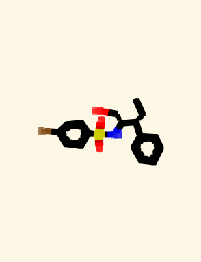 CC[C@H](c1ccccc1)[C@@H](CO)NS(=O)(=O)c1ccc(Br)cc1